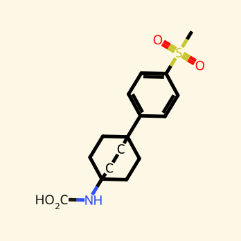 CS(=O)(=O)c1ccc(C23CCC(NC(=O)O)(CC2)CC3)cc1